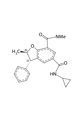 CNC(=O)c1cc(C(=O)NC2CC2)cc2c1O[C@H](C)[C@H]2c1ccccc1